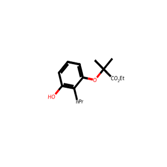 CCCc1c(O)cccc1OC(C)(C)C(=O)OCC